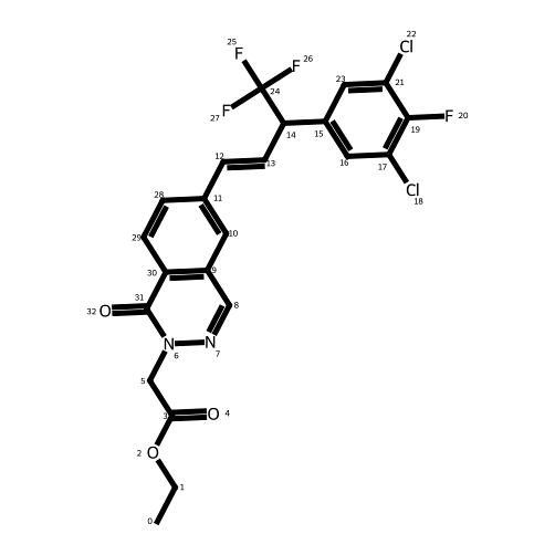 CCOC(=O)Cn1ncc2cc(C=CC(c3cc(Cl)c(F)c(Cl)c3)C(F)(F)F)ccc2c1=O